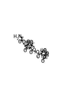 CC1(C)[C@H](C(=O)OCOC(=O)[C@@H]2N3C(=O)[C@H](COC(=O)CN)[C@H]3S(=O)(=O)C2(C)C)N2C(=O)C[C@H]2S1(=O)=O